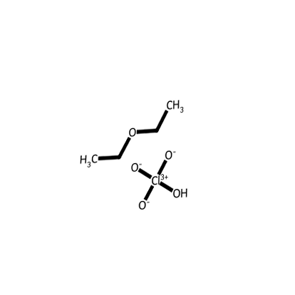 CCOCC.[O-][Cl+3]([O-])([O-])O